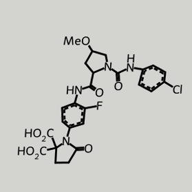 COC1CC(C(=O)Nc2ccc(N3C(=O)CCC3(C(=O)O)C(=O)O)cc2F)N(C(=O)Nc2ccc(Cl)cc2)C1